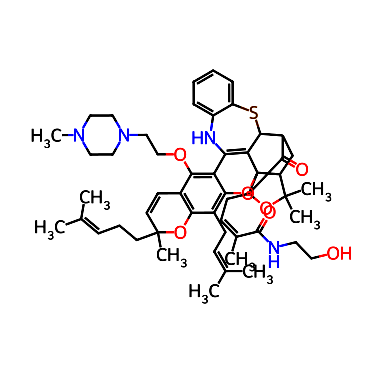 CC(C)=CCCC1(C)C=Cc2c(c(CC=C(C)C)c3c(c2OCCN2CCN(C)CC2)C2=C4C(Sc5ccccc5N2)C2CC5C(C)(C)OC(C/C=C(/C)C(=O)NCCO)(C2=O)C45O3)O1